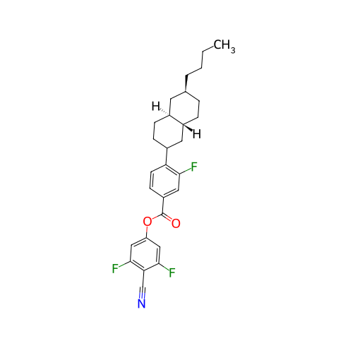 CCCC[C@H]1CC[C@@H]2CC(c3ccc(C(=O)Oc4cc(F)c(C#N)c(F)c4)cc3F)CC[C@H]2C1